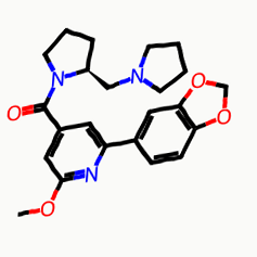 COc1cc(C(=O)N2CCC[C@H]2CN2CCCC2)cc(-c2ccc3c(c2)OCO3)n1